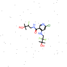 CC(C)(O)C(F)CNC(=O)c1cnc(Cl)cc1NCC(F)(F)C(C)(C)O